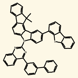 CC1(C)c2ccccc2-c2ccc3c(c21)c1cc(-c2cccc4c2sc2ccccc24)ccc1n3-c1nc(-c2cccc(-c3ccccc3)c2)c2ccccc2n1